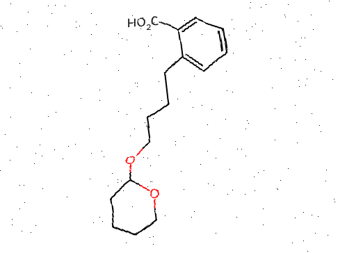 O=C(O)c1ccccc1CCCCOC1CCCCO1